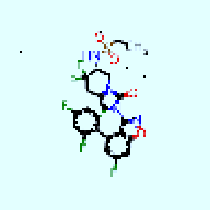 CCS(=O)(=O)N[C@@H]1Cn2c(cn(-c3noc4cc(F)cc(-c5c(F)cc(F)cc5F)c34)c2=O)CC1(F)F